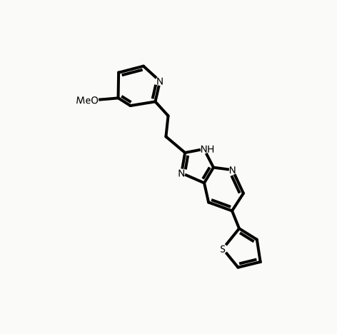 COc1ccnc(CCc2nc3cc(-c4cccs4)cnc3[nH]2)c1